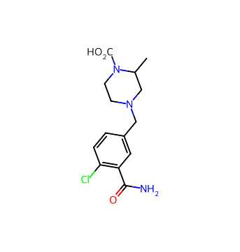 CC1CN(Cc2ccc(Cl)c(C(N)=O)c2)CCN1C(=O)O